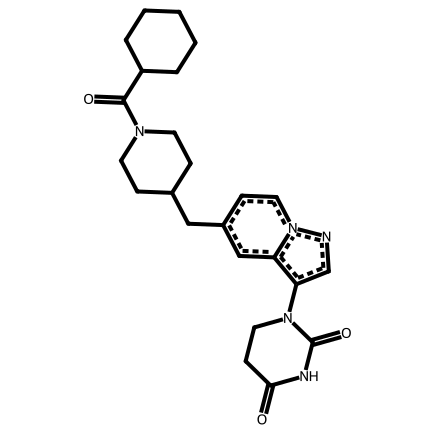 O=C1CCN(c2cnn3ccc(CC4CCN(C(=O)C5CCCCC5)CC4)cc23)C(=O)N1